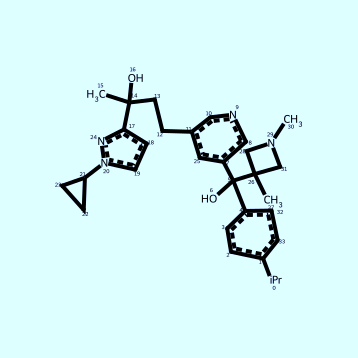 CC(C)c1ccc(C(O)(c2cncc(CCC(C)(O)c3ccn(C4CC4)n3)c2)C2(C)CN(C)C2)cc1